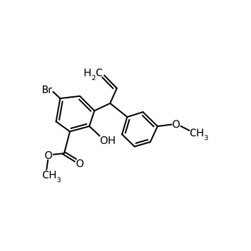 C=CC(c1cccc(OC)c1)c1cc(Br)cc(C(=O)OC)c1O